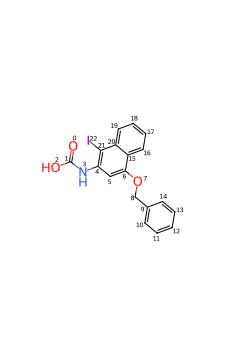 O=C(O)Nc1cc(OCc2ccccc2)c2ccccc2c1I